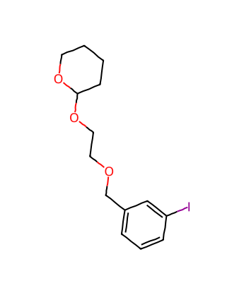 Ic1cccc(COCCOC2CCCCO2)c1